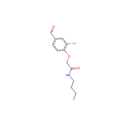 CCCCNC(=O)COc1ccc(C=O)cc1Cl